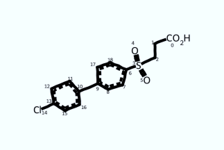 O=C(O)CCS(=O)(=O)c1ccc(-c2ccc(Cl)cc2)cc1